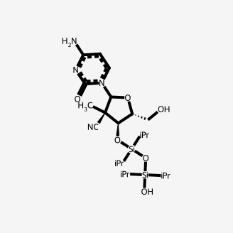 CC(C)[Si](O)(O[Si](O[C@@H]1[C@@H](CO)OC(n2ccc(N)nc2=O)[C@]1(C)C#N)(C(C)C)C(C)C)C(C)C